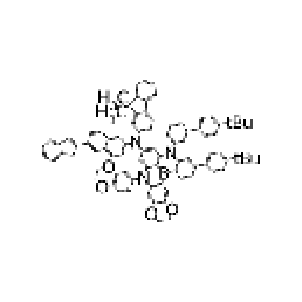 CC(C)(C)c1ccc(-c2cccc(N3c4cc(-c5ccc(C(C)(C)C)cc5)ccc4B4c5cc6c(cc5N(c5ccc7c(c5)OCCO7)c5cc(N(c7ccc8c(c7)C(C)(C)c7ccccc7-8)c7ccc8cc(C9=Cc%10ccccc%10C9)ccc8c7)cc3c54)OCCO6)c2)cc1